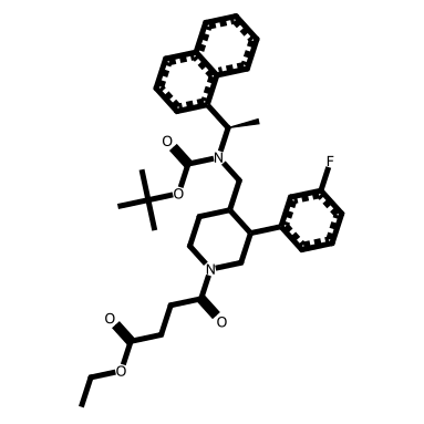 CCOC(=O)CCC(=O)N1CCC(CN(C(=O)OC(C)(C)C)[C@H](C)c2cccc3ccccc23)C(c2cccc(F)c2)C1